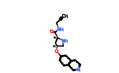 C#CCNC(=O)[C@@H]1C[C@@H](Oc2ccc3cnccc3c2)CN1